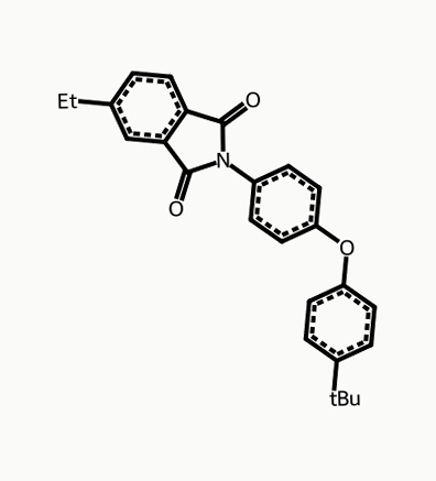 CCc1ccc2c(c1)C(=O)N(c1ccc(Oc3ccc(C(C)(C)C)cc3)cc1)C2=O